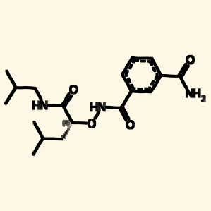 CC(C)CNC(=O)[C@@H](CC(C)C)ONC(=O)c1cccc(C(N)=O)c1